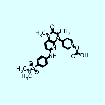 C[C@@H]1C(=O)N(C)c2ccc(Nc3ccc(S(=O)(=O)N(C)C)cc3)nc2N1C1CCN(OC(=O)O)CC1